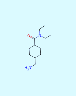 CCN(CC)C(=O)C1CCC(CN)CC1